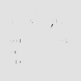 CC[C@H](c1cccc(O)c1)[C@H](C)CN(C)C.O=S(=O)(O)O